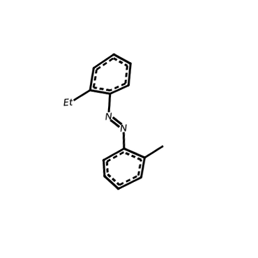 CCc1ccccc1N=Nc1ccccc1C